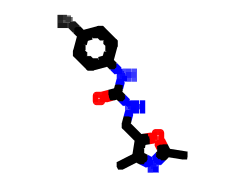 CCc1ccc(NC(=O)NCc2oc(C)nc2C)cc1